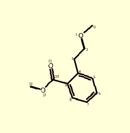 COCCc1ccccc1C(=O)OC